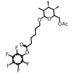 CC(=O)OCC1O[C@@H](OCCCCCC(=O)Oc2c(F)c(F)c(F)c(F)c2F)C(C)[C@@H](C)[C@H]1C